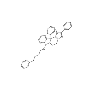 Cn1c(-c2ccccc2)nc2c1C(c1ccccc1)(c1ccccc1)C(COCCCCc1ccccc1)CC2